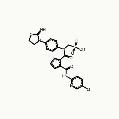 N=C1OCCN1c1ccc(N(CS(=O)(=O)O)C(=O)c2sccc2C(=O)Nc2ccc(Cl)cn2)cc1